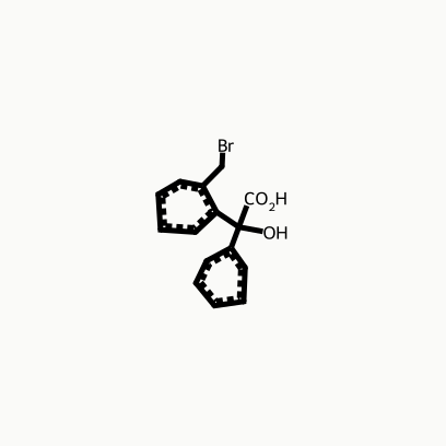 O=C(O)C(O)(c1ccccc1)c1ccccc1CBr